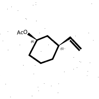 C=C[C@H]1CCC[C@@H](OC(C)=O)C1